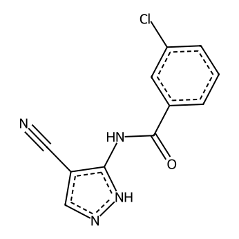 N#Cc1cn[nH]c1NC(=O)c1cccc(Cl)c1